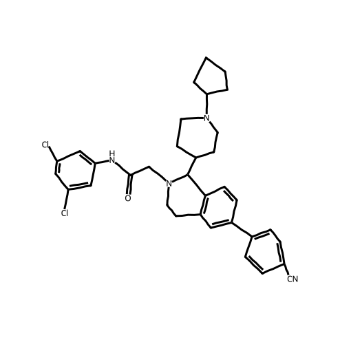 N#Cc1ccc(-c2ccc3c(c2)CCN(CC(=O)Nc2cc(Cl)cc(Cl)c2)C3C2CCN(C3CCCC3)CC2)cc1